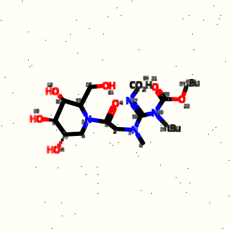 CN(CC(=O)N1C[C@H](O)[C@@H](O)[C@@H](O)C1CO)C(=NC(=O)O)N(C(=O)OC(C)(C)C)C(C)(C)C